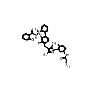 CCCCc1nn(-c2cc(NC(=O)COCC)ccc2C(F)(F)F)c(C#N)c1Cc1ccc(-c2ccccc2S(=O)(=O)NC(=O)c2ccccc2Cl)cc1F